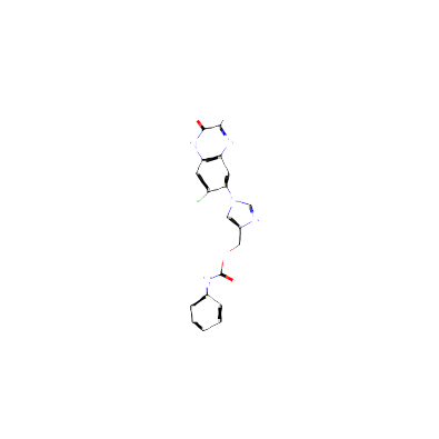 O=C(Nc1ccccc1)OCc1cn(-c2cc3nc(C(=O)O)c(=O)[nH]c3cc2Cl)cn1